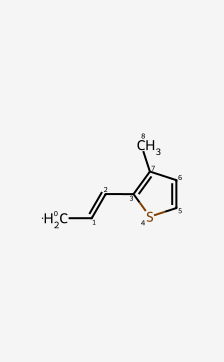 [CH2]C=Cc1sccc1C